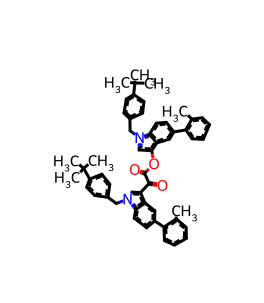 Cc1ccccc1-c1ccc2c(c1)c(OC(=O)C(=O)c1cn(Cc3ccc(C(C)(C)C)cc3)c3ccc(-c4ccccc4C)cc13)cn2Cc1ccc(C(C)(C)C)cc1